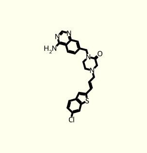 Nc1ncnc2cc(CN3CCN(C/C=C/c4cc5ccc(Cl)cc5s4)CC3=O)ccc12